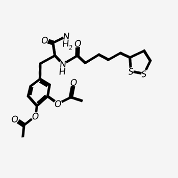 CC(=O)Oc1ccc(CC(NC(=O)CCCCC2CCSS2)C(N)=O)cc1OC(C)=O